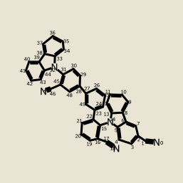 N#Cc1ccc2c(c1)c1ccccc1n2-c1c(C#N)cccc1-c1cccc(-c2ccc(-n3c4ccccc4c4ccccc43)c(C#N)c2)c1